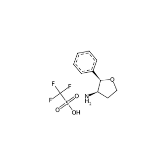 N[C@@H]1CCO[C@@H]1c1ccccc1.O=S(=O)(O)C(F)(F)F